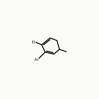 CCC1=CCC(C)C=C1C(C)=O